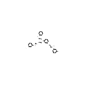 Cc1cc(C)cc(N(C)C(=O)COc2cccc(N(CC(=O)N(C)c3ccccc3)C(=O)CNC(=O)Nc3cccc(C#N)c3)c2)c1